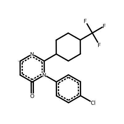 O=c1c[c]nc(C2CCC(C(F)(F)F)CC2)n1-c1ccc(Cl)cc1